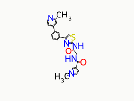 Cc1cc(-c2cccc(-c3csc(NC(=O)CNC(=O)c4ccn(C)c4)n3)c2)ccn1